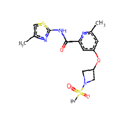 Cc1cc(OC2CN(S(=O)(=O)C(C)C)C2)cc(C(=O)Nc2nc(C)cs2)n1